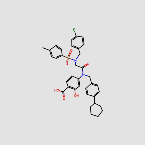 Cc1ccc(S(=O)(=O)N(CC(=O)N(Cc2ccc(C3CCCCC3)cc2)c2ccc(C(=O)O)c(O)c2)Cc2ccc(F)cc2)cc1